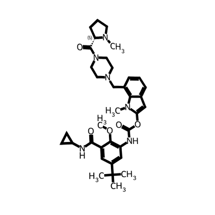 COc1c(NC(=O)Oc2cc3cccc(CN4CCN(C(=O)[C@@H]5CCCN5C)CC4)c3n2C)cc(C(C)(C)C)cc1C(=O)NC1CC1